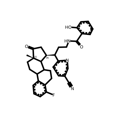 C[C@]12CCC3c4cccc(F)c4CCC3C1[C@H](C(CCNC(=O)c1ccccc1O)c1ccc(C#N)cn1)CC2=O